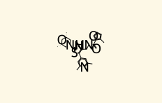 Cc1cc(-c2sc(N3C[C@@H](C)O[C@@H](C)C3)nc2CNC(=O)c2occc2C)cc(C)n1